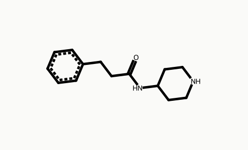 O=C(CCc1ccccc1)NC1CCNCC1